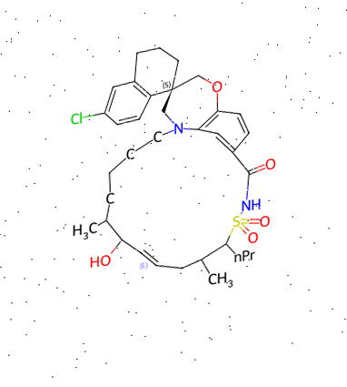 CCCC1C(C)C/C=C/C(O)C(C)CCCCN2C[C@@]3(CCCc4cc(Cl)ccc43)COc3ccc(cc32)C(=O)NS1(=O)=O